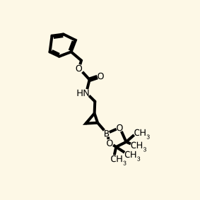 CC1(C)OB(C2CC2CNC(=O)OCc2ccccc2)OC1(C)C